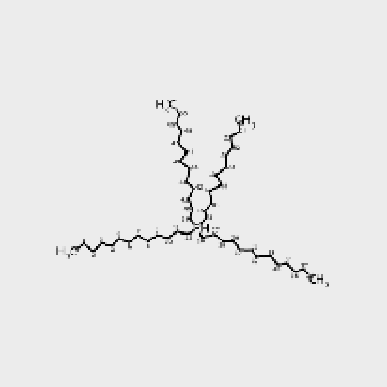 CCCCCCCCCCCCC[PH](CCCCCCCCCCCC)(CCCCCCCCCCCCC)CCCCCCCCCCCCC